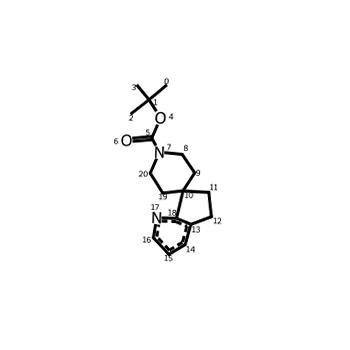 CC(C)(C)OC(=O)N1CCC2(CCc3cccnc32)CC1